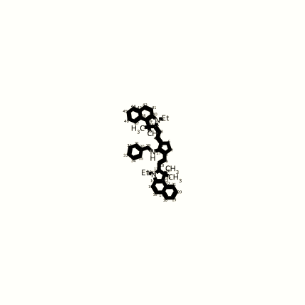 CCN1C(=CC=C2CCC(C=CC3N(CC)c4ccc5ccccc5c4C3(C)C)=C2NCc2ccccc2)C(C)(C)c2c1ccc1ccccc21